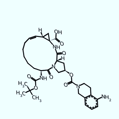 CC(C)(C)OC(=O)N[C@H]1CCCCCC=C[C@@H]2C[C@@]2(C(=O)O)NC(=O)[C@@H]2C[C@@H](OC(=O)N3CCc4c(N)cccc4C3)CN2C1=O